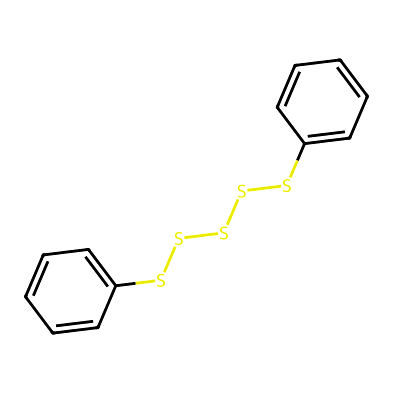 c1ccc(SSSSSc2ccccc2)cc1